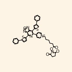 O=C(CCCCC[n+]1ccc(-c2nc(-c3ccc(-c4ccccc4)s3)c3nonc3c2-c2cc(-c3ccccc3)cs2)cc1)ON1C(=O)CCC1=O